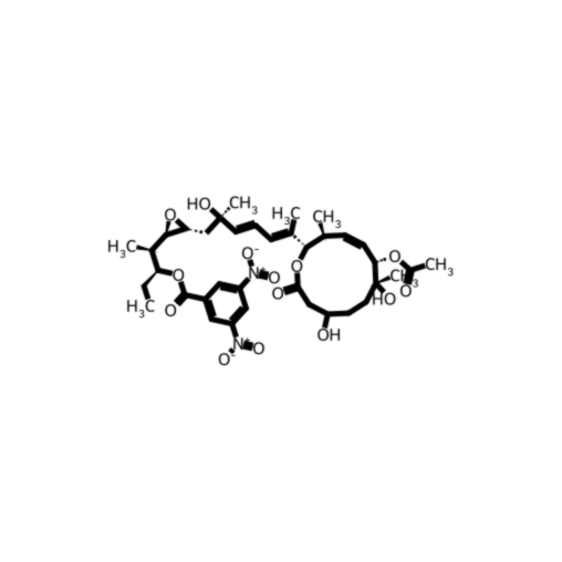 CC[C@H](OC(=O)c1cc([N+](=O)[O-])cc([N+](=O)[O-])c1)[C@@H](C)[C@H]1O[C@@H]1C[C@@](C)(O)/C=C/C=C(\C)[C@H]1OC(=O)CC(O)CC[C@@](C)(O)[C@@H](OC(C)=O)C=C[C@@H]1C